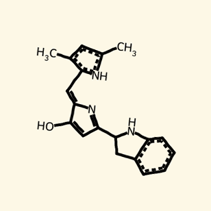 Cc1cc(C)c(/C=C2\N=C(C3Cc4ccccc4N3)C=C2O)[nH]1